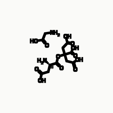 NCC(=O)O.N[C@@H](CC(=O)O)C(=O)OC(CC(=O)O)(CC(=O)O)C(=O)O